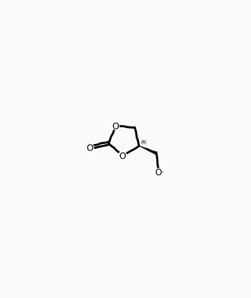 [O]C[C@@H]1COC(=O)O1